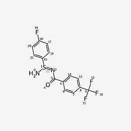 N/S(=N\C(=O)c1ccc(C(F)(F)F)cc1)c1ccc(F)cc1